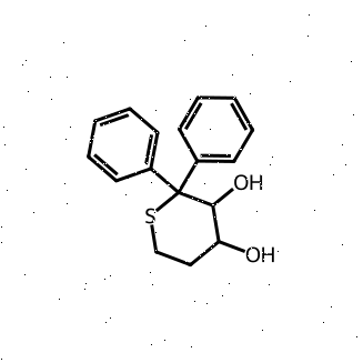 OC1CCSC(c2ccccc2)(c2ccccc2)C1O